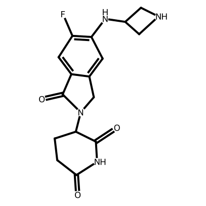 O=C1CCC(N2Cc3cc(NC4CNC4)c(F)cc3C2=O)C(=O)N1